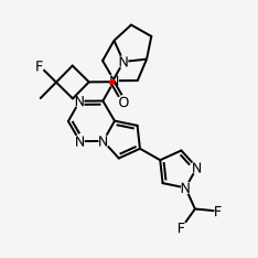 CC1(F)CC(C(=O)N2C3CCC2CN(c2ncnn4cc(-c5cnn(C(F)F)c5)cc24)C3)C1